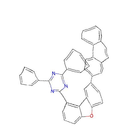 c1ccc(-c2nc(-c3ccccc3)nc(-c3cccc4oc5ccc(-c6ccc7c(ccc8ccccc87)c6)cc5c34)n2)cc1